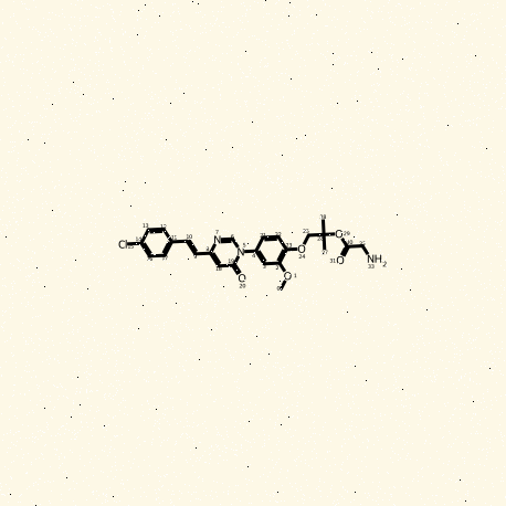 COc1cc(-n2cnc(/C=C/c3ccc(Cl)cc3)cc2=O)ccc1OCC(C)(C)OC(=O)CN